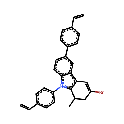 C=Cc1ccc(-c2ccc3c(c2)c2c(n3-c3ccc(C=C)cc3)C(C)CC(Br)=C2)cc1